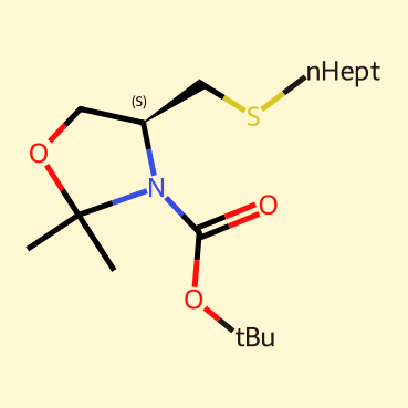 CCCCCCCSC[C@@H]1COC(C)(C)N1C(=O)OC(C)(C)C